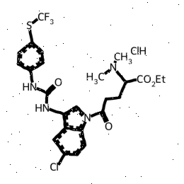 CCOC(=O)C(CCC(=O)n1cc(NC(=O)Nc2ccc(SC(F)(F)F)cc2)c2cc(Cl)ccc21)N(C)C.Cl